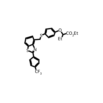 CCOC(=O)C(CC)Oc1ccc(SCc2cccc3sc(-c4ccc(C(F)(F)F)cc4)nc23)cc1